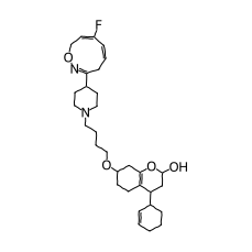 OC1CC(C2C=CCCC2)C2=C(CC(OCCCCN3CCC(/C4=N/OC/C=C(F)\C=C/C4)CC3)CC2)O1